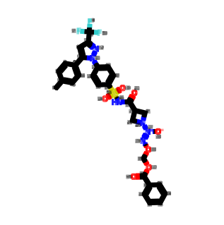 Cc1ccc(-c2cc(C(F)(F)F)nn2-c2ccc(S(=O)(=O)NC(=O)C3CN([N+]([O-])=NOCOC(=O)c4ccccc4)C3)cc2)cc1